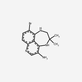 CC1(C)CNc2c(Br)ccc3ncc(N)c(c23)N1